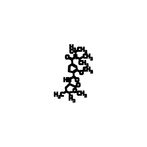 COC(=O)C(CC(C)C)NC(=O)c1ccc(C(=O)N(C(C)C)C(C)C)cc1OC